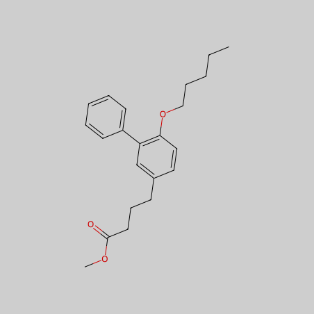 CCCCCOc1ccc(CCCC(=O)OC)cc1-c1ccccc1